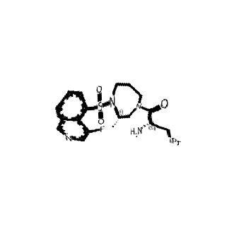 CC(C)C[C@H](N)C(=O)N1CCCN(S(=O)(=O)c2cccc3cncc(F)c23)[C@@H](C)C1